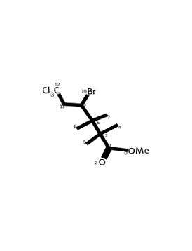 COC(=O)C(C)(C)C(C)(C)C(Br)CC(Cl)(Cl)Cl